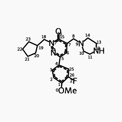 COc1ccc(-c2cc(CN3CCNCC3)c(=O)n(CC3CCCC3)n2)cc1F